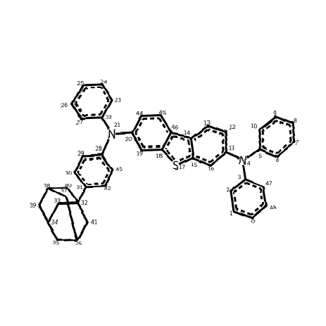 c1ccc(N(c2ccccc2)c2ccc3c(c2)sc2cc(N(c4ccccc4)c4ccc(C56CC7CC(CC(C7)C5)C6)cc4)ccc23)cc1